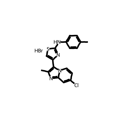 Br.Cc1ccc(Nc2nc(-c3c(C)nc4cc(Cl)ccn34)cs2)cc1